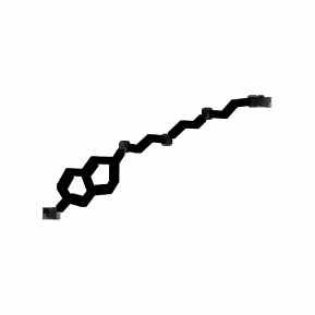 CC(=O)OCCOCCOCCOc1ccc2cc(C#N)ccc2c1